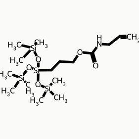 C=CCNC(=O)OCCC[Si](O[Si](C)(C)C)(O[Si](C)(C)C)O[Si](C)(C)C